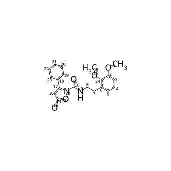 COc1cccc(CCNC(=O)n2oc(=O)cc2-c2ccccc2)c1OC